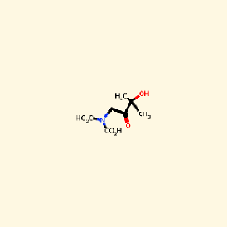 CC(C)(O)C(=O)CN(C(=O)O)C(=O)O